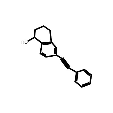 OC1CCCc2cc(C#Cc3ccccc3)ccc21